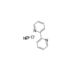 [Cl-].[Cl-].[Ni+2].c1ccc(-c2ccccn2)nc1